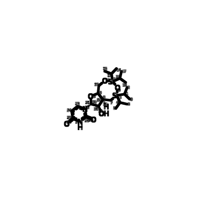 CC(C)[Si]1(C(C)C)C[C@@H]2C(CO[Si](C(C)C)(C(C)C)O1)O[C@@H](n1ccc(=O)[nH]c1=O)[C@@H]2O